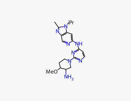 COC1CCN(c2nccc(Nc3cc4c(cn3)nc(C)n4C(C)C)n2)CC1N